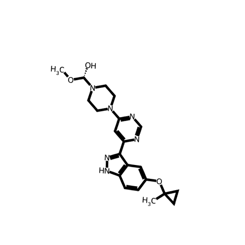 CO[C@H](O)N1CCN(c2cc(-c3n[nH]c4ccc(OC5(C)CC5)cc34)ncn2)CC1